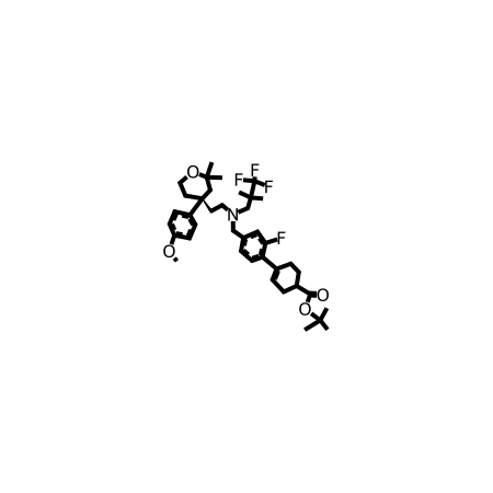 COc1ccc([C@]2(CCN(Cc3ccc(C4=CCC(C(=O)OC(C)(C)C)CC4)c(F)c3)CC(C)(C)C(F)(F)F)CCOC(C)(C)C2)cc1